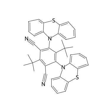 CC(C)(C)c1c(C#N)c(N2c3ccccc3Sc3ccccc32)c(C(C)(C)C)c(N2c3ccccc3Sc3ccccc32)c1C#N